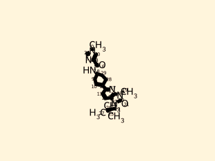 Cn1cnc(C(=O)NC2CC=C(c3ccc4c(n3)n(C)c(=O)n4CC(C)(C)C)CC2)c1